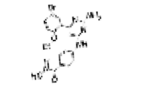 CCOc1ccc(Br)cc1-c1cc(Nc2ccc(C(=O)NO)cc2)nc(N)n1